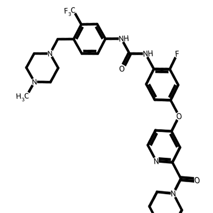 CN1CCN(Cc2ccc(NC(=O)Nc3ccc(Oc4ccnc(C(=O)N5CCCCC5)c4)cc3F)cc2C(F)(F)F)CC1